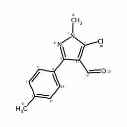 Cc1ccc(-c2nn(C)c(Cl)c2C=O)cc1